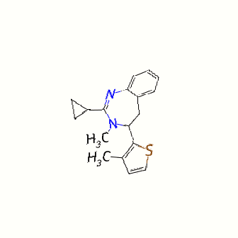 Cc1ccsc1C1Cc2ccccc2N=C(C2CC2)N1C